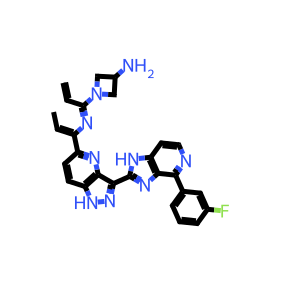 C=C/C(=N\C(=C/C)c1ccc2[nH]nc(-c3nc4c(-c5cccc(F)c5)nccc4[nH]3)c2n1)N1CC(N)C1